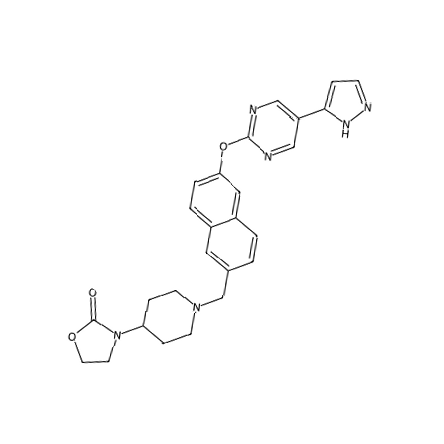 O=C1OCCN1C1CCN(Cc2ccc3cc(Oc4ncc(-c5ccn[nH]5)cn4)ccc3c2)CC1